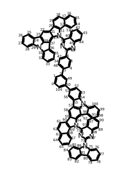 c1cc(-c2ccc(-c3nc(-n4c5c6ccccc6ccc5c5cc6c7ccccc7n7c8ccccc8c(c54)c67)c4ccccc4n3)cc2)cc(-c2ccc3c(c2)c2cc4c5ccc6ccccc6c5n(-c5nc(-n6c7ccccc7c7ccccc76)nc6ccccc56)c4c4c5ccccc5n3c24)c1